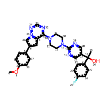 COc1ccc(-c2cc3c(N4CCN(c5ncc(C(C)(O)c6ccc(F)cc6)cn5)CC4)ncnn3c2)cc1